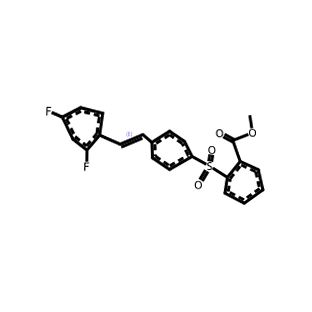 COC(=O)c1ccccc1S(=O)(=O)c1ccc(/C=C/c2ccc(F)cc2F)cc1